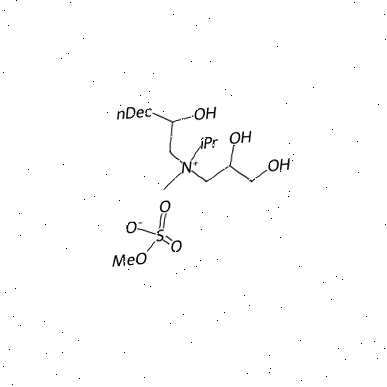 CCCCCCCCCCC(O)C[N+](C)(CC(O)CO)C(C)C.COS(=O)(=O)[O-]